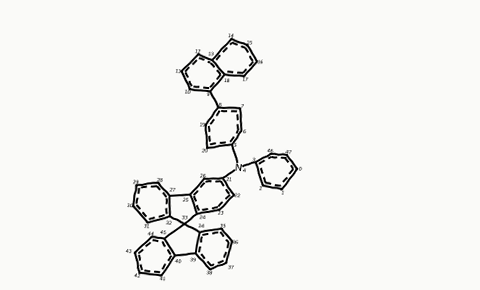 c1ccc(N(c2ccc(-c3cccc4ccccc34)cc2)c2ccc3c(c2)-c2ccccc2C32c3ccccc3-c3ccccc32)cc1